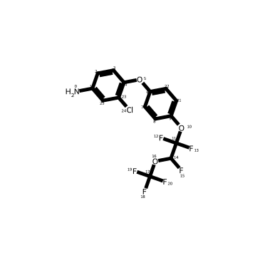 Nc1ccc(Oc2ccc(OC(F)(F)C(F)OC(F)(F)F)cc2)c(Cl)c1